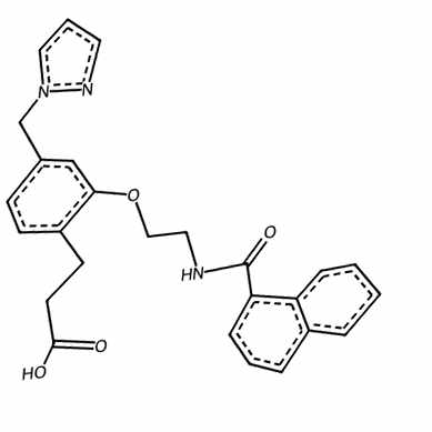 O=C(O)CCc1ccc(Cn2cccn2)cc1OCCNC(=O)c1cccc2ccccc12